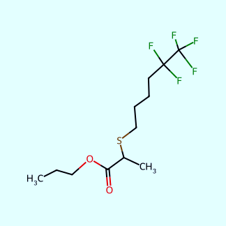 CCCOC(=O)C(C)SCCCCC(F)(F)C(F)(F)F